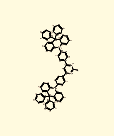 Cc1nc(-c2ccc(N3c4ccccc4C(c4ccccc4)(c4ccccc4)c4ccccc43)cc2)cc(-c2ccc(N3c4ccccc4C(c4ccccc4)(c4ccccc4)c4ccccc43)cc2)n1